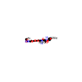 CCCC(C)(C)OC(=O)NCCCOCCOCCOCCCNC(=O)CCC(NC(=O)c1ccc(NC)cc1)C(=O)OC